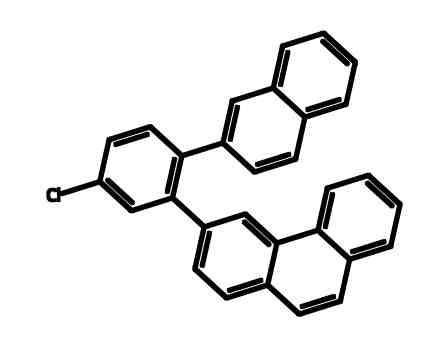 Clc1ccc(-c2ccc3ccccc3c2)c(-c2ccc3ccc4ccccc4c3c2)c1